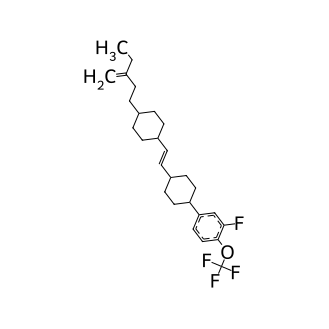 C=C(CC)CCC1CCC(C=CC2CCC(c3ccc(OC(F)(F)F)c(F)c3)CC2)CC1